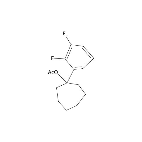 CC(=O)OC1(c2cccc(F)c2F)CCCCCC1